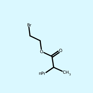 CCCC(C)C(=O)OCCBr